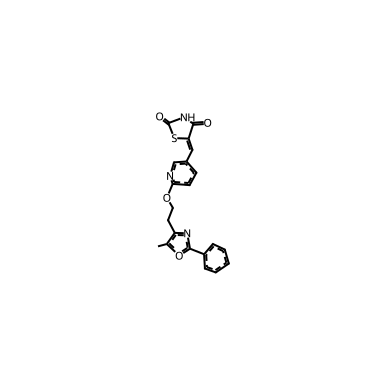 Cc1oc(-c2ccccc2)nc1CCOc1ccc(/C=C2\SC(=O)NC2=O)cn1